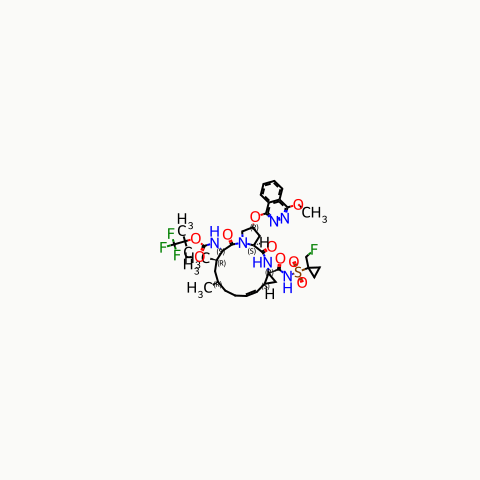 COc1nnc(O[C@@H]2C[C@H]3C(=O)N[C@]4(C(=O)NS(=O)(=O)C5(CF)CC5)C[C@H]4C=CCC[C@@H](C)C[C@@H](C)[C@H](NC(=O)OC(C)(C)C(F)(F)F)C(=O)N3C2)c2ccccc12